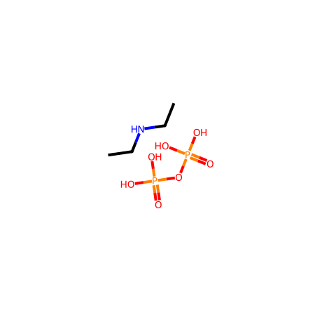 CCNCC.O=P(O)(O)OP(=O)(O)O